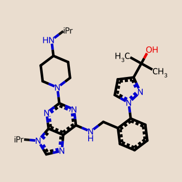 CC(C)NC1CCN(c2nc(NCc3ccccc3-n3ccc(C(C)(C)O)n3)c3ncn(C(C)C)c3n2)CC1